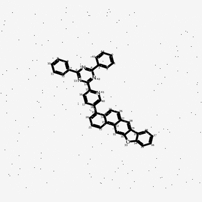 c1ccc(-c2nc(-c3ccccc3)nc(-c3ccc(-c4cccc5c4ccc4cc6c(cc45)oc4ccccc46)cn3)n2)cc1